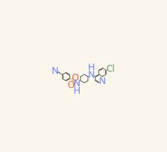 N#Cc1ccc(S(=O)(=O)NC2CCC(Nc3ccnc4cc(Cl)ccc34)CC2)cc1